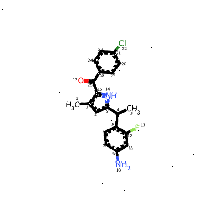 Cc1cc(C(C)c2ccc(N)cc2F)[nH]c1C(=O)c1ccc(Cl)cc1